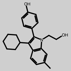 Cc1ccc2c(C3CCCCC3)c(-c3ccc(O)cc3)n(CCO)c2c1